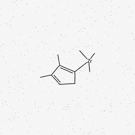 CC1=CC[C]([Zr]([CH3])([CH3])[CH3])=C1C